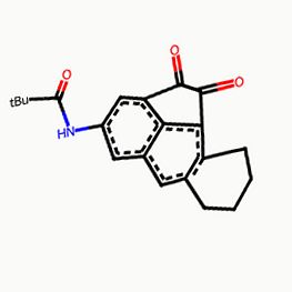 CC(C)(C)C(=O)Nc1cc2c3c(c4c(cc3c1)CCCC4)C(=O)C2=O